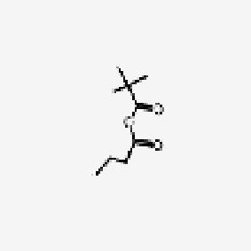 [CH2]CCC(=O)OC(=O)C(C)(C)C